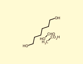 CC(=O)O.O=CO.OCCCCCCO